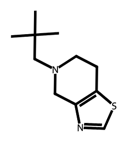 CC(C)(C)CN1CCc2scnc2C1